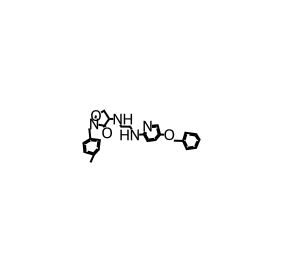 Cc1ccc(CN2OCC(NCCNc3ccc(OCc4ccccc4)cn3)C2=O)cc1